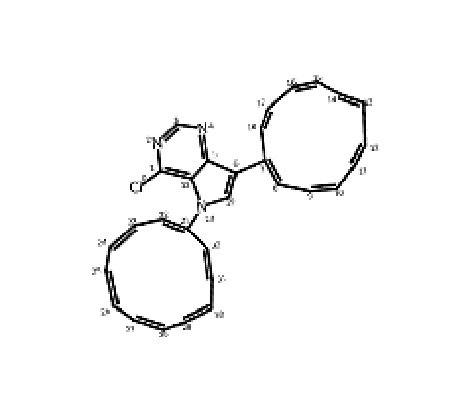 Clc1ncnc2c(C3=C/C=C\C=C/C=C\C=C/C=C\3)cn(C3=C/C=C\C=C/C=C\C=C/C=C\3)c12